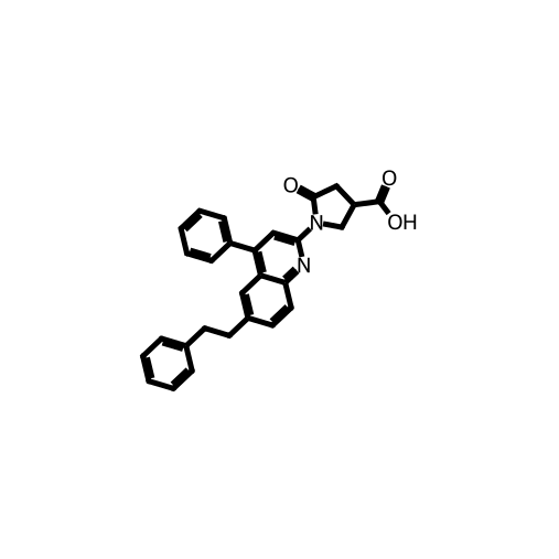 O=C(O)C1CC(=O)N(c2cc(-c3ccccc3)c3cc(CCc4ccccc4)ccc3n2)C1